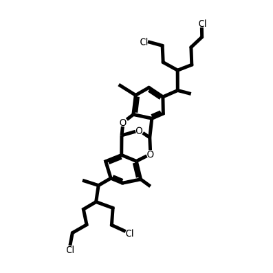 Cc1cc(C(C)C(CCCl)CCCCl)cc2c1OC1OC2Oc2c(C)cc(C(C)C(CCCl)CCCCl)cc21